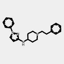 c1ccc(CCN2CCC(Nc3ccn(-c4ccccc4)n3)CC2)cc1